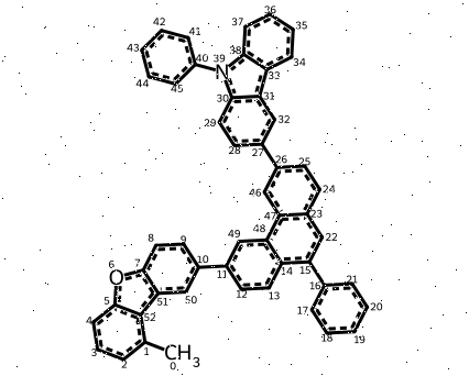 Cc1cccc2oc3ccc(-c4ccc5c(-c6ccccc6)cc6ccc(-c7ccc8c(c7)c7ccccc7n8-c7ccccc7)cc6c5c4)cc3c12